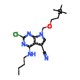 CCCCNc1nc(Cl)nc2c1c(C#N)cn2COCC[Si](C)(C)C